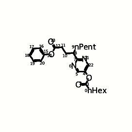 CCCCCCC(=O)Oc1cnc(C(CCCCC)CCC(=O)Oc2ccccc2)nc1